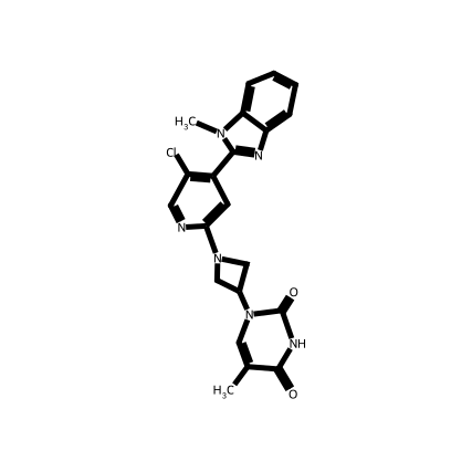 Cc1cn(C2CN(c3cc(-c4nc5ccccc5n4C)c(Cl)cn3)C2)c(=O)[nH]c1=O